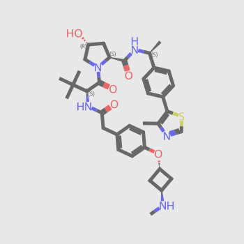 CN[C@H]1C[C@H](Oc2ccc(CC(=O)N[C@H](C(=O)N3C[C@H](O)C[C@H]3C(=O)N[C@@H](C)c3ccc(-c4scnc4C)cc3)C(C)(C)C)cc2)C1